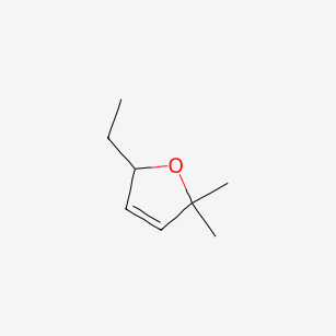 CCC1C=CC(C)(C)O1